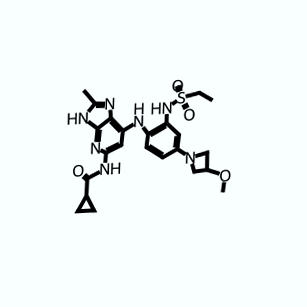 CCS(=O)(=O)Nc1cc(N2CC(OC)C2)ccc1Nc1cc(NC(=O)C2CC2)nc2[nH]c(C)nc12